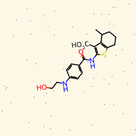 CC1CCCc2sc(NC(=O)c3ccc(NCCO)cc3)c(C(=O)O)c21